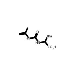 C=C(C)NC(=O)NC(C(=O)O)C(C)(C)C